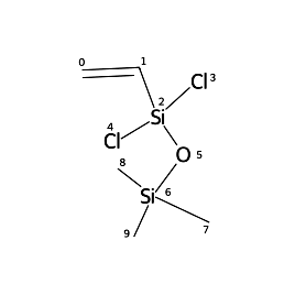 C=C[Si](Cl)(Cl)O[Si](C)(C)C